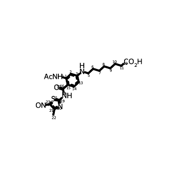 CC(=O)Nc1cc(NCCCCCCCC(=O)O)ccc1C(=O)Nc1nc(C)c(N=O)s1